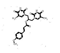 COc1ccc(/C=C/C(=O)OC(Cn2cc(C)c(=O)[nH]c2=O)Cn2cc(C)c(=O)[nH]c2=O)cc1